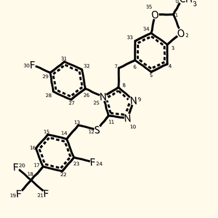 CC1Oc2ccc(Cc3nnc(SCc4ccc(C(F)(F)F)cc4F)n3-c3ccc(F)cc3)cc2O1